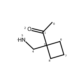 CC(=O)C1(C[NH])CCC1